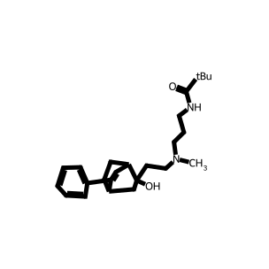 CN(CCCNC(=O)C(C)(C)C)CCC1(O)CC2CCC1C=C2c1ccccc1